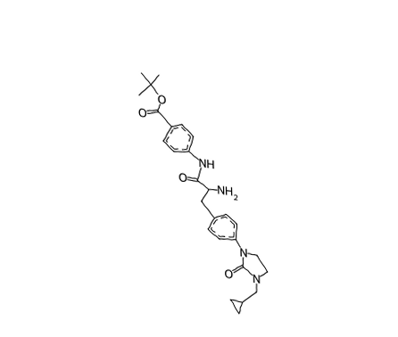 CC(C)(C)OC(=O)c1ccc(NC(=O)C(N)Cc2ccc(N3CCN(CC4CC4)C3=O)cc2)cc1